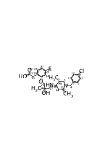 C[C@@H]1CN(Cc2ccc(Cl)cc2)[C@@H](C)C[C@@H]1NCC(C)(O)COc1cc(F)ccc1CC(=O)O